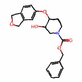 O=C(OCc1ccccc1)N1CCC(Oc2ccc3c(c2)COC3)C(O)C1